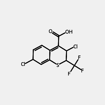 O=C(O)C1=C2C=CC(Cl)C=C2SC(C(F)(F)F)C1Cl